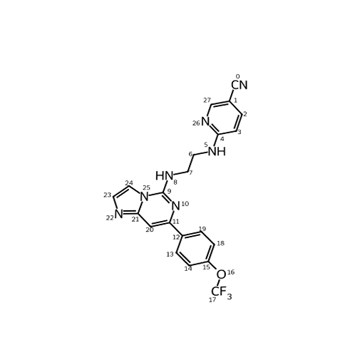 N#Cc1ccc(NCCNc2nc(-c3ccc(OC(F)(F)F)cc3)cc3nccn23)nc1